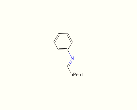 CCCCCC=Nc1ccccc1C